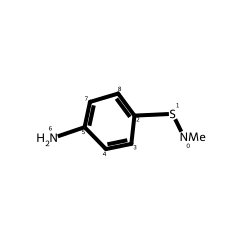 CNSc1ccc(N)cc1